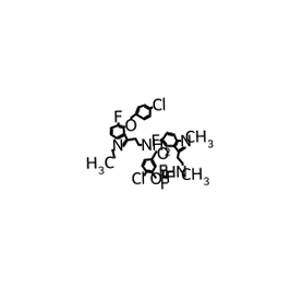 CCCn1cc(CCN)c2c(OCc3ccc(Cl)cc3)c(F)ccc21.CNCCc1cn(C)c2ccc(F)c(OCc3ccc(Cl)c(OC(F)(F)F)c3)c12